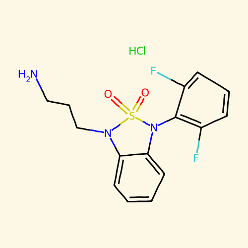 Cl.NCCCN1c2ccccc2N(c2c(F)cccc2F)S1(=O)=O